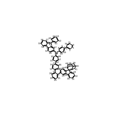 c1ccc(-c2ccc(N(c3ccc(-c4ccc(-c5ccccc5-c5ccc6c(c5)-c5ccccc5C65C6CC7CC(C6)CC5C7)cc4)cc3)c3ccc4c5ccccc5n(-c5ccccc5)c4c3)cc2)cc1